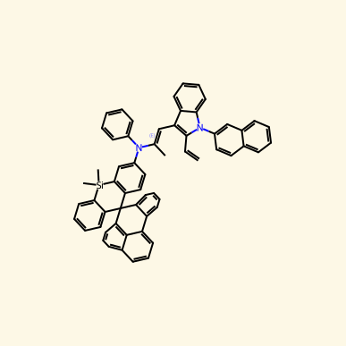 C=Cc1c(/C=C(\C)N(c2ccccc2)c2ccc3c(c2)[Si](C)(C)c2ccccc2C32c3ccccc3-c3cccc4cccc2c34)c2ccccc2n1-c1ccc2ccccc2c1